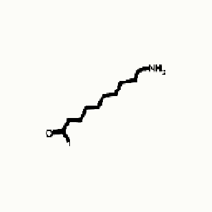 NCCCCCCCCCC(=O)I